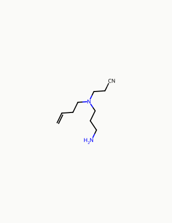 C=CCCN(CCC#N)CCCN